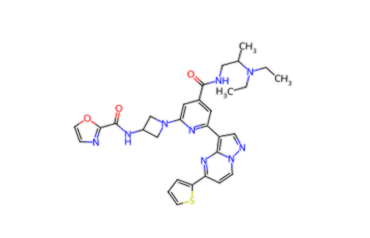 CCN(CC)C(C)CNC(=O)c1cc(-c2cnn3ccc(-c4cccs4)nc23)nc(N2CC(NC(=O)c3ncco3)C2)c1